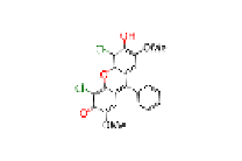 COc1cc2c(-c3ccccc3)c3cc(OC)c(=O)c(Cl)c-3oc2c(Cl)c1O